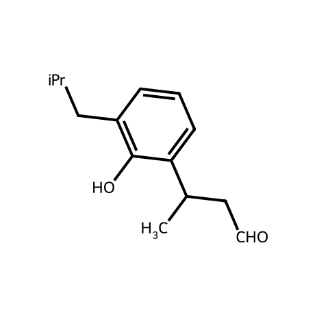 CC(C)Cc1cccc(C(C)CC=O)c1O